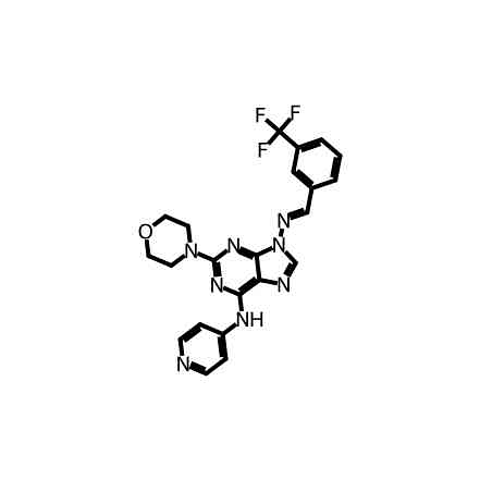 FC(F)(F)c1cccc(C=Nn2cnc3c(Nc4ccncc4)nc(N4CCOCC4)nc32)c1